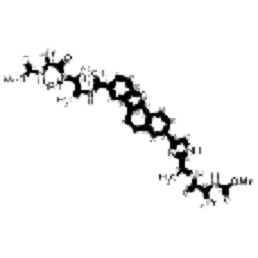 C=C(NC(=C)[C@H](C)N(CCC)C(=O)C(NC(=O)OC)C(C)C)c1ccc2oc3c(c2c1)CCc1cc(-c2c[nH]c([C@H](C)NC(=O)C(NC(=O)OC)C(C)C)n2)ccc1-3